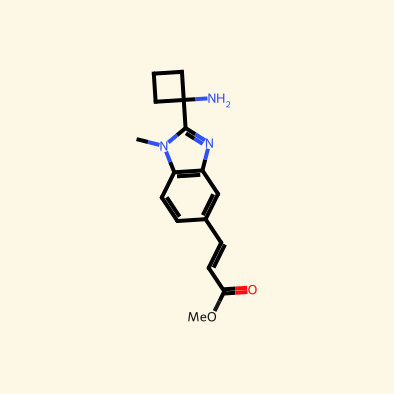 COC(=O)/C=C/c1ccc2c(c1)nc(C1(N)CCC1)n2C